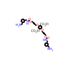 CCOC(=O)c1cc(OCC#CCOC(=O)NCc2cccc(CN)c2)c(C(=O)OCC)cc1OCC#CCOC(=O)NCc1cccc(CN)c1